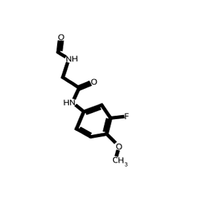 COc1ccc(NC(=O)CNC=O)cc1F